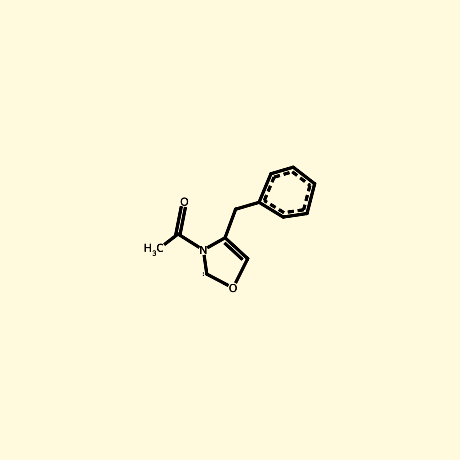 CC(=O)N1[C]OC=C1Cc1ccccc1